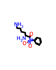 NCCCC[C@H](N)C(=O)N(c1ccccc1)[N+](=O)[O-]